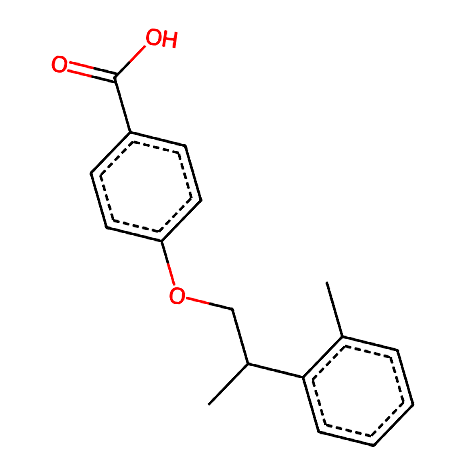 Cc1ccccc1C(C)COc1ccc(C(=O)O)cc1